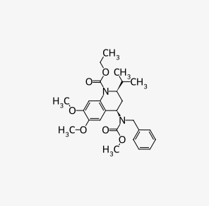 CCOC(=O)N1c2cc(OC)c(OC)cc2[C@H](N(Cc2ccccc2)C(=O)OC)C[C@@H]1C(C)C